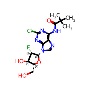 CC(C)(C)C(=O)Nc1nc(Cl)nc2c1ncn2[C@@H]1O[C@H](CO)[C@@H](O)[C@@H]1F